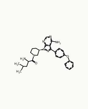 CC(C)CC(N)C(=O)N1CCC[C@@H](n2nc(-c3ccc(Oc4ccccc4)cc3)c3c(N)ncnc32)C1